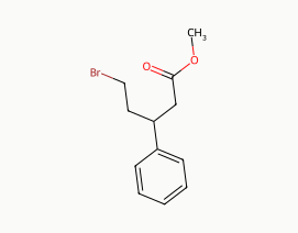 COC(=O)CC(CCBr)c1ccccc1